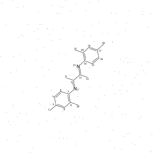 CC(=N\c1ccc(C)cc1C)/C(C)=N/c1ccc(C)cc1C